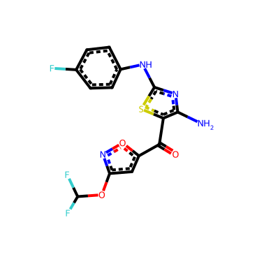 Nc1nc(Nc2ccc(F)cc2)sc1C(=O)c1cc(OC(F)F)no1